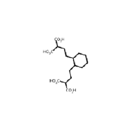 O=C(O)C(CCC1CCCCC1CCC(C(=O)O)C(=O)O)C(=O)O